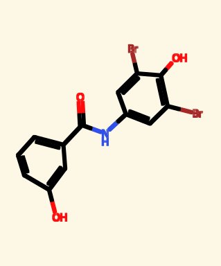 O=C(Nc1cc(Br)c(O)c(Br)c1)c1cccc(O)c1